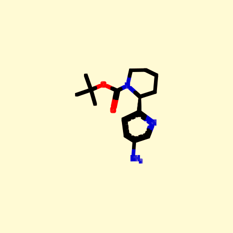 CC(C)(C)OC(=O)N1CCCC[C@H]1c1ccc(N)cn1